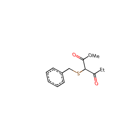 CCC(=O)C(SCc1ccccc1)C(=O)OC